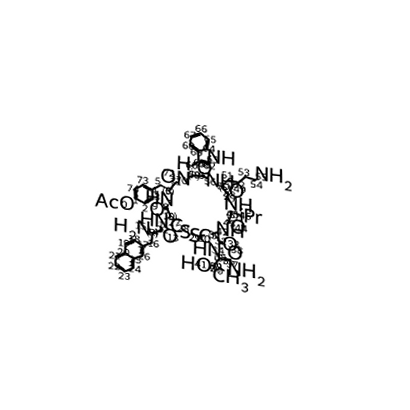 CC(=O)Oc1ccc(C[C@@H]2NC(=O)[C@H](NC(=O)[C@H](N)Cc3ccc4ccccc4c3)CSSC[C@H](C(=O)N[C@H](C(N)=O)[C@@H](C)O)NC(=O)[C@H](C(C)C)NC(=O)[C@H](CCCCN)NC(=O)[C@@H](Cc3c[nH]c4ccccc34)NC2=O)cc1